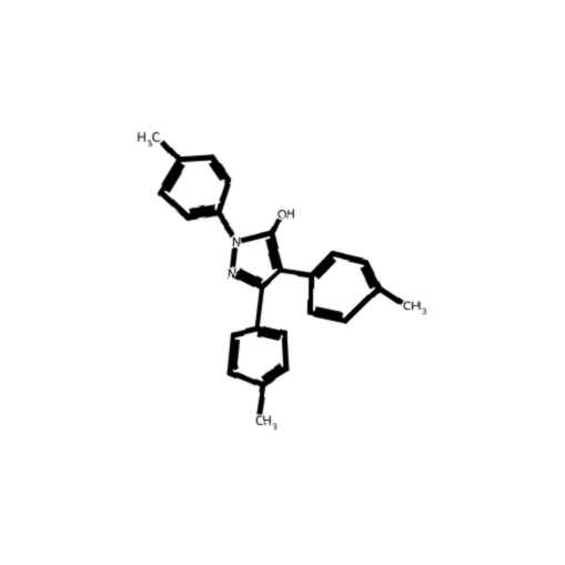 Cc1ccc(-c2nn(-c3ccc(C)cc3)c(O)c2-c2ccc(C)cc2)cc1